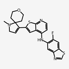 CN1CC=C(c2cc3c(Nc4cc5ncsc5cc4F)ccnc3s2)C12CCOCC2